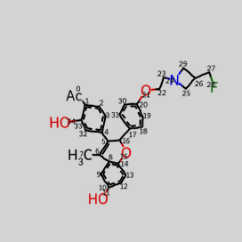 CC(=O)c1ccc(C2=C(C)c3cc(O)ccc3OC2c2ccc(OCCN3CC(CF)C3)cc2)cc1O